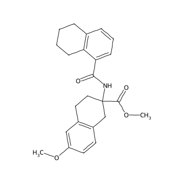 COC(=O)C1(NC(=O)c2cccc3c2CCCC3)CCc2cc(OC)ccc2C1